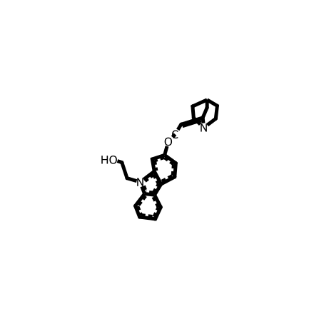 OCCn1c2ccccc2c2ccc(OCC=C3CC4CCN3CC4)cc21